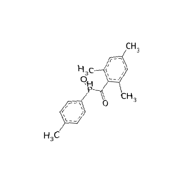 Cc1ccc([PH](=O)C(=O)c2c(C)cc(C)cc2C)cc1